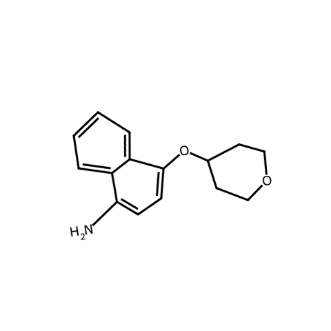 Nc1ccc(OC2CCOCC2)c2ccccc12